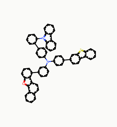 c1cc(-c2cccc3oc4c5ccccc5ccc4c23)cc(N(c2ccc(-c3ccc4c(c3)sc3ccccc34)cc2)c2ccc(-c3ccccc3-n3c4ccccc4c4ccccc43)cc2)c1